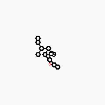 c1ccc(-c2cc(-c3ccc4ccccc4c3)cc(-c3ccccc3-c3cccc4c3C3(c5cc6c(cc5-4)oc4cc5ccccc5cc46)C4CC5CC(C4)CC3C5)c2)cc1